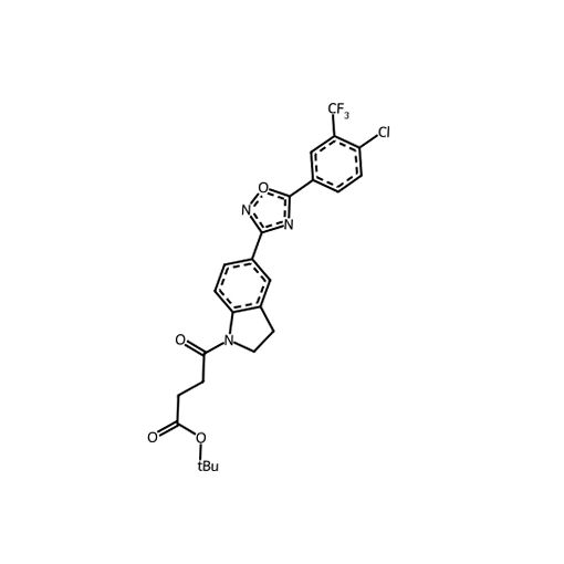 CC(C)(C)OC(=O)CCC(=O)N1CCc2cc(-c3noc(-c4ccc(Cl)c(C(F)(F)F)c4)n3)ccc21